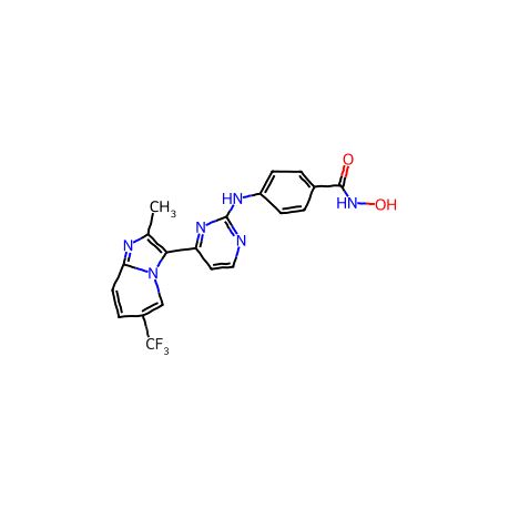 Cc1nc2ccc(C(F)(F)F)cn2c1-c1ccnc(Nc2ccc(C(=O)NO)cc2)n1